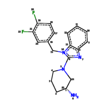 N[C@@H]1CCCN(c2nc3ccccc3n2Cc2ccc(F)c(F)c2)C1